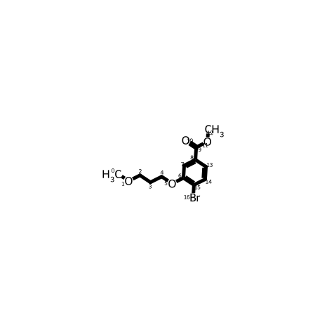 COCCCOc1cc(C(=O)OC)ccc1Br